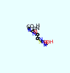 Cc1c(-c2nc3cc(CN4CCC(C)(C(=O)O)C4)cc(C#N)c3o2)cccc1-c1cccc(-c2nc3c(s2)CN(C(=O)CN(C)C(C)CO)C3)c1C